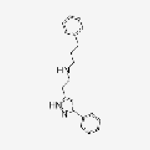 c1ccc(CCCNCCc2cc(-c3ccccc3)n[nH]2)cc1